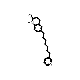 O=C1CCc2cc(CCCCCCCc3cccnc3)ccc2N1